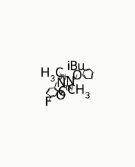 CCC(C)c1ccccc1OCN1C[C@@H](C)N(Cc2ccc(F)cc2)C(=C=O)[C@@H]1C